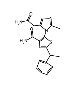 Cc1ncc(CC(N)=O)n1-c1sc(C(C)c2ccccc2)cc1C(N)=O